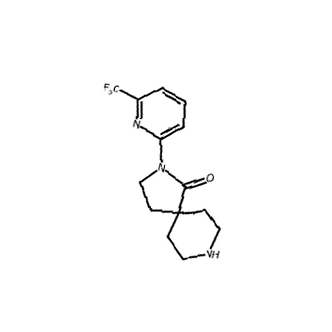 O=C1N(c2cccc(C(F)(F)F)n2)CCC12CCNCC2